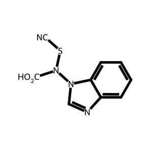 N#CSN(C(=O)O)n1cnc2ccccc21